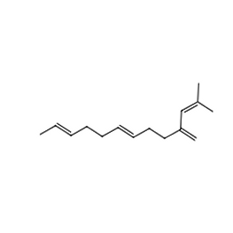 C=C(C=C(C)C)CC/C=C/CC/C=C/C